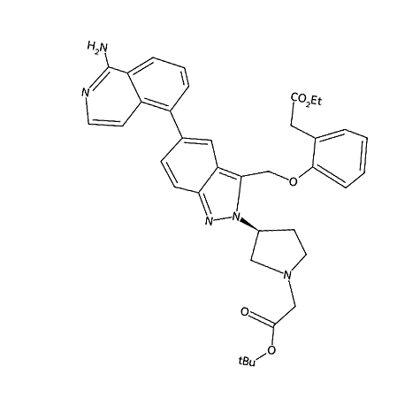 CCOC(=O)Cc1ccccc1OCc1c2cc(-c3cccc4c(N)nccc34)ccc2nn1[C@H]1CCN(CC(=O)OC(C)(C)C)C1